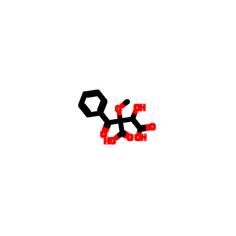 COC(C(=O)O)(C(=O)c1ccccc1)C(O)C(=O)O